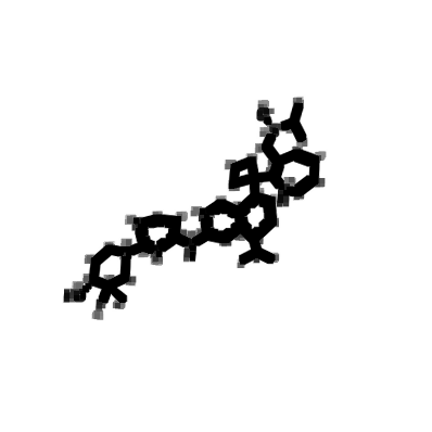 CC(C)c1ccc(C2(C3=C(C[S@+]([O-])C(C)C)C=CC=CN3)CCC2)c2cnc(Nc3ccnc(N4CC[C@@H](O)[C@@](C)(F)C4)n3)cc12